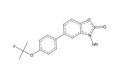 CCCn1c(=O)oc2ccc(-c3ccc(OC(C)(C)F)cc3)cc21